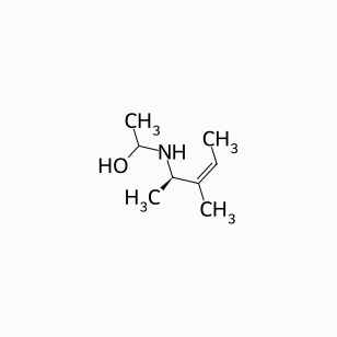 C/C=C(/C)[C@@H](C)NC(C)O